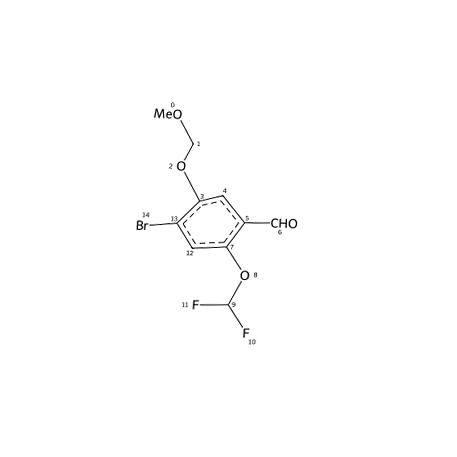 COCOc1cc(C=O)c(OC(F)F)cc1Br